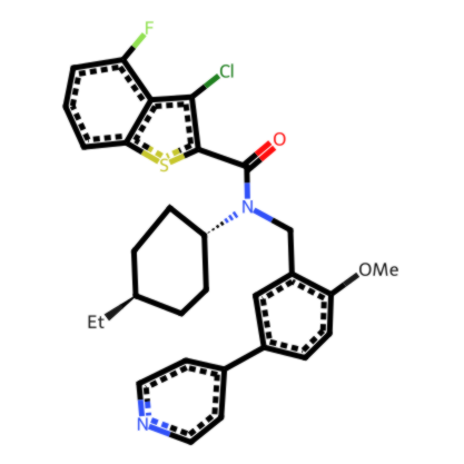 CC[C@H]1CC[C@H](N(Cc2cc(-c3ccncc3)ccc2OC)C(=O)c2sc3cccc(F)c3c2Cl)CC1